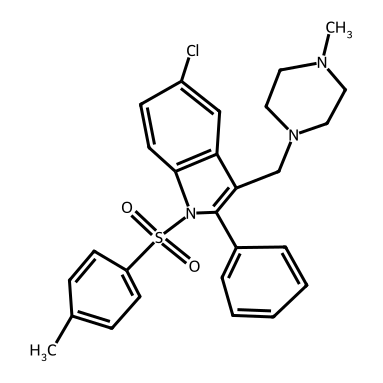 Cc1ccc(S(=O)(=O)n2c(-c3ccccc3)c(CN3CCN(C)CC3)c3cc(Cl)ccc32)cc1